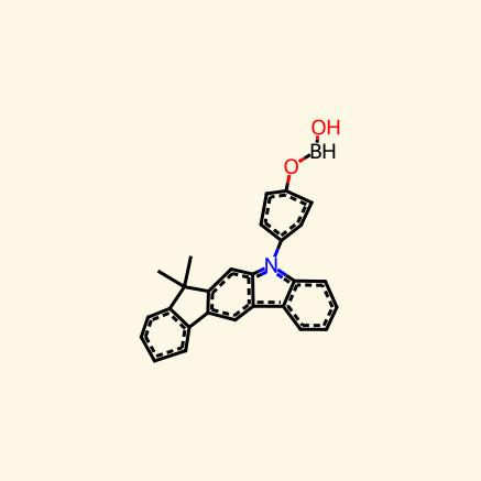 CC1(C)c2ccccc2-c2cc3c4ccccc4n(-c4ccc(OBO)cc4)c3cc21